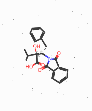 CC(C)[C@@](O)(C(=O)O)[C@H](Cc1ccccc1)N1C(=O)c2ccccc2C1=O